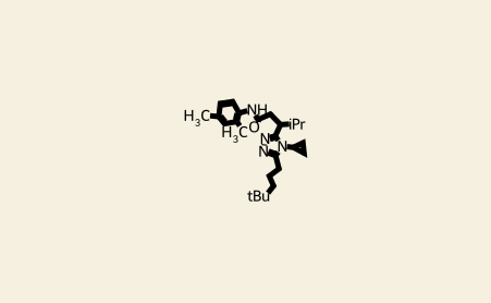 Cc1ccc(NC(=O)CC(c2nnc(CCCC(C)(C)C)n2C2CC2)C(C)C)c(C)c1